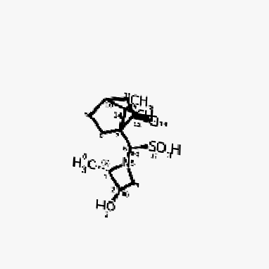 C[C@H]1[C@H](O)CN1[C@@H](C12CCC(CC1=O)C2(C)C)S(=O)(=O)O